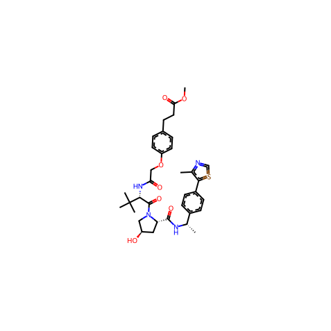 COC(=O)CCc1ccc(OCC(=O)N[C@H](C(=O)N2C[C@H](O)C[C@H]2C(=O)N[C@@H](C)c2ccc(-c3scnc3C)cc2)C(C)(C)C)cc1